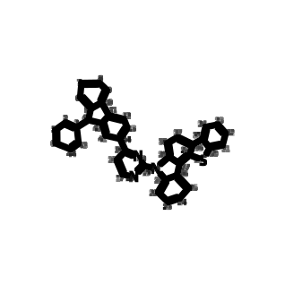 c1ccc(C2c3ccccc3-c3ccc(-c4ccnc(-n5c6ccccc6c6c7sc8ccccc8c7ccc65)n4)cc32)cc1